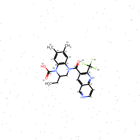 CCC1CN(C(=O)c2cc3cnccc3nc2C(F)(F)F)c2cc(C)c(C)cc2N1C(=O)O